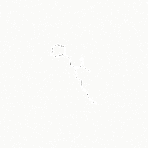 NCCCCCC(CCc1ccccc1)C(=O)O